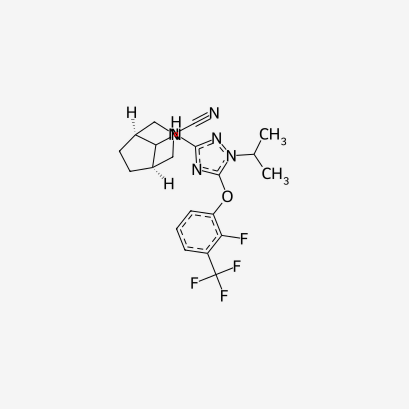 CC(C)n1nc(NC2[C@@H]3CC[C@H]2CN(C#N)C3)nc1Oc1cccc(C(F)(F)F)c1F